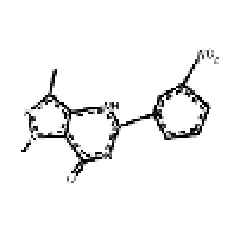 Cc1nn(C)c2c(=O)nc(-c3cccc([N+](=O)[O-])c3)[nH]c12